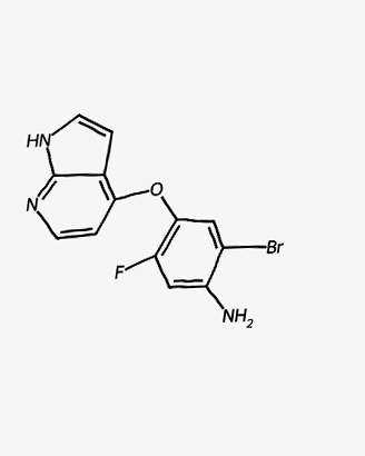 Nc1cc(F)c(Oc2ccnc3[nH]ccc23)cc1Br